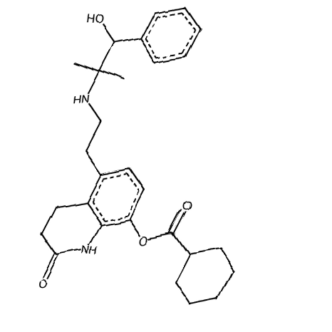 CC(C)(NCCc1ccc(OC(=O)C2CCCCC2)c2c1CCC(=O)N2)C(O)c1ccccc1